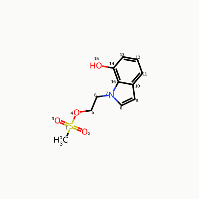 CS(=O)(=O)OCCn1ccc2cccc(O)c21